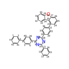 c1ccc(-c2ccc(-c3nc(-c4ccccc4)nc(-c4ccc(-c5cccc6oc7ccccc7c56)cc4)n3)cc2)cc1